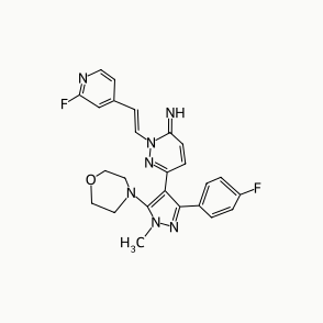 Cn1nc(-c2ccc(F)cc2)c(-c2ccc(=N)n(/C=C/c3ccnc(F)c3)n2)c1N1CCOCC1